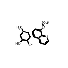 CC1CCC(C(C)C)C(O)C1.O=S(=O)(O)Oc1cccc2cccnc12